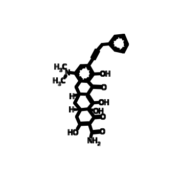 CN(C)c1cc(C#CCc2ccccc2)c(O)c2c1C[C@H]1C[C@H]3CC(O)=C(C(N)=O)C(=O)[C@@]3(O)C(O)=C1C2=O